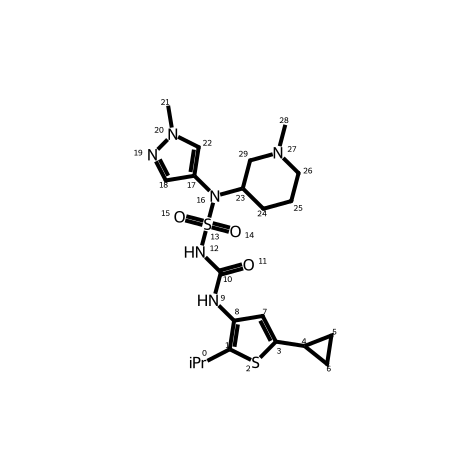 CC(C)c1sc(C2CC2)cc1NC(=O)NS(=O)(=O)N(c1cnn(C)c1)C1CCCN(C)C1